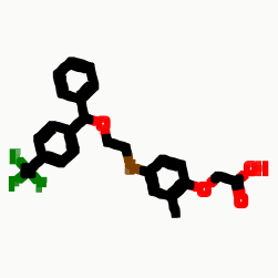 Cc1cc(SCCOC(c2ccccc2)c2ccc(C(F)(F)F)cc2)ccc1OCC(=O)O